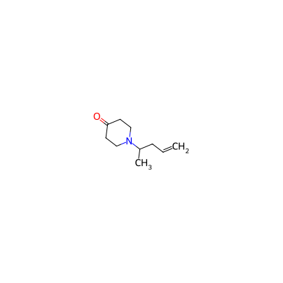 C=CCC(C)N1CCC(=O)CC1